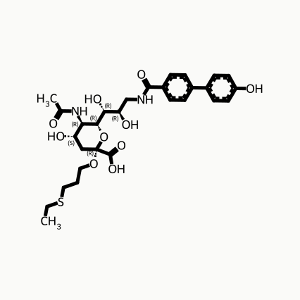 CCSCCCO[C@]1(C(=O)O)C[C@H](O)[C@@H](NC(C)=O)[C@H]([C@H](O)[C@H](O)CNC(=O)c2ccc(-c3ccc(O)cc3)cc2)O1